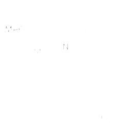 COC(=O)c1cccc2sc(CCC3CCCOCC3)nc12